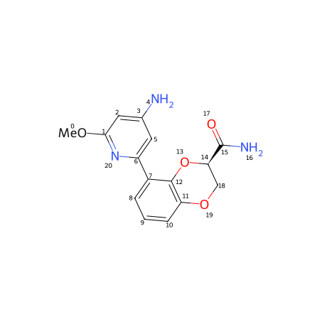 COc1cc(N)cc(-c2cccc3c2O[C@@H](C(N)=O)CO3)n1